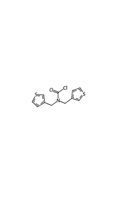 O=C(Cl)N(Cc1ccsc1)Cc1ccsc1